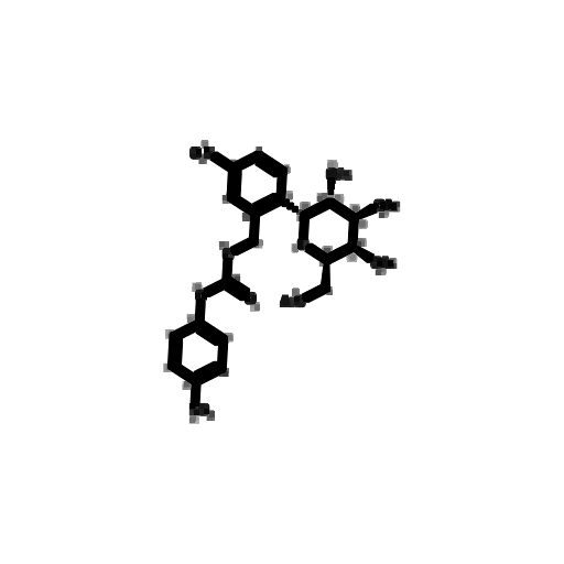 CC(=O)OC[C@H]1O[C@H](c2ccc([N+](=O)[O-])cc2COC(=O)Oc2ccc([N+](=O)[O-])cc2)[C@H](OC(C)=O)[C@@H](OC(C)=O)[C@H]1OC(C)=O